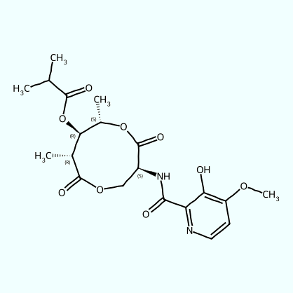 COc1ccnc(C(=O)N[C@H]2COC(=O)[C@H](C)[C@@H](OC(=O)C(C)C)[C@H](C)OC2=O)c1O